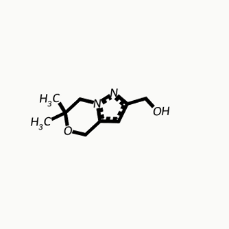 CC1(C)Cn2nc(CO)cc2CO1